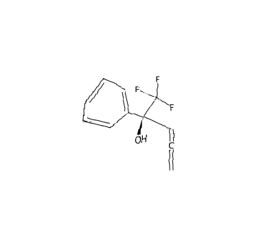 C=C=C[C@](O)(c1ccccc1)C(F)(F)F